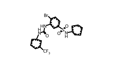 O=C(Nc1cccc(C(F)(F)F)c1)Nc1cc(S(=O)(=O)Nc2ccccc2)ccc1Br